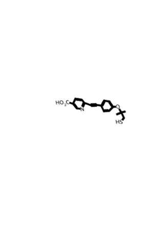 CC(C)(CS)Oc1ccc(C#Cc2ccc(C(=O)O)cn2)cc1